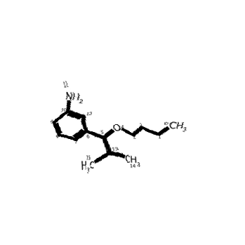 CCCCOC(c1cccc(N)c1)C(C)C